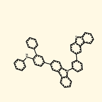 c1ccc(Nc2ccc(-c3ccc4c(c3)c3ccccc3n4-c3cccc(-c4ccc5sc6ccccc6c5c4)c3)cc2-c2ccccc2)cc1